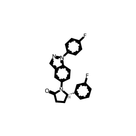 O=C1CC[C@@H](c2cccc(F)c2)N1c1ccc2c(cnn2-c2ccc(F)cc2)c1